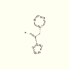 O=C(C[n+]1ccccc1)c1ccco1.[Br-]